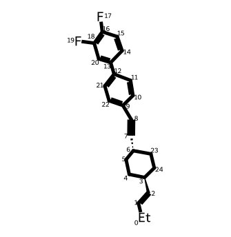 CCC=C[C@H]1CC[C@H](C#Cc2ccc(-c3ccc(F)c(F)c3)cc2)CC1